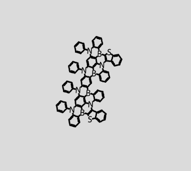 c1ccc(N2c3cc4c(cc3B3c5ccccc5N5c6c3c2cc2c6B(c3ccccc3N2c2ccccc2)c2sc3ccccc3c25)B2c3ccccc3N3c5c2c(cc2c5B(c5ccccc5N2c2ccccc2)c2sc5ccccc5c23)N4c2ccccc2)cc1